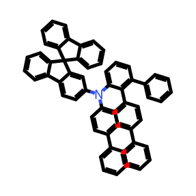 c1ccc(-c2ccc(-c3c(-c4ccccc4)cccc3N(c3ccc(-c4ccccc4)cc3)c3ccc4c(c3)C3(c5ccccc5-c5ccccc53)c3ccccc3-4)cc2)cc1